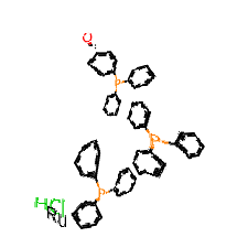 Cl.[C]=O.[Ru].c1ccc(P(c2ccccc2)c2ccccc2)cc1.c1ccc(P(c2ccccc2)c2ccccc2)cc1.c1ccc(P(c2ccccc2)c2ccccc2)cc1